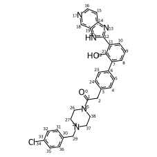 O=C(Cc1ccc(-c2cccc(-c3nc4ccncc4[nH]3)c2O)cc1)N1CCN(Cc2ccc(Cl)cc2)CC1